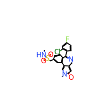 CNS(=O)(=O)Cc1ccc2c(c1)-c1cn(C)c(=O)cc1CN=C2c1ccc(F)cc1Cl